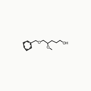 COC(CCCO)COCc1ccccc1